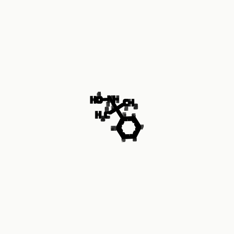 CC(C)(NO)c1ccccc1